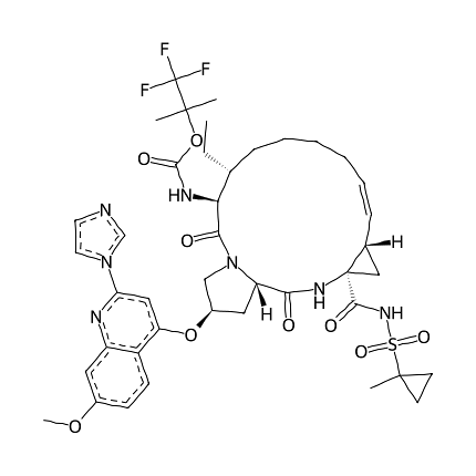 CC[C@@H]1CCCC/C=C\[C@@H]2C[C@@]2(C(=O)NS(=O)(=O)C2(C)CC2)NC(=O)[C@@H]2C[C@@H](Oc3cc(-n4ccnc4)nc4cc(OC)ccc34)CN2C(=O)[C@H]1NC(=O)OC(C)(C)C(F)(F)F